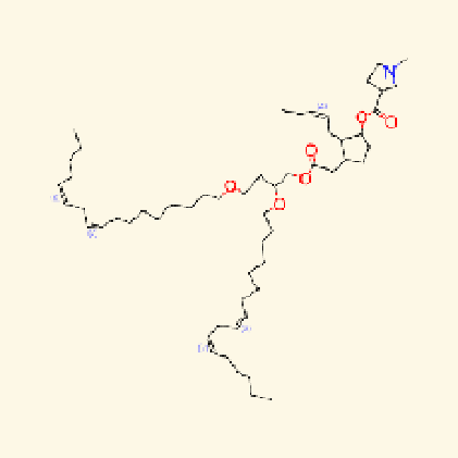 CC/C=C\CC1C(CC(=O)OCC(CCOCCCCCCCC/C=C\C/C=C\CCCC)OCCCCCCC/C=C\C/C=C\CCCCC)CCC1OC(=O)C1CCN(C)C1